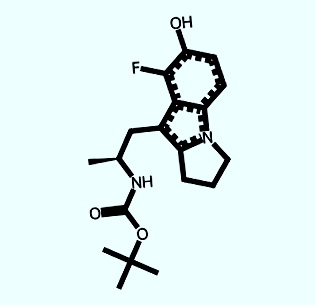 C[C@@H](Cc1c2n(c3ccc(O)c(F)c13)CCC2)NC(=O)OC(C)(C)C